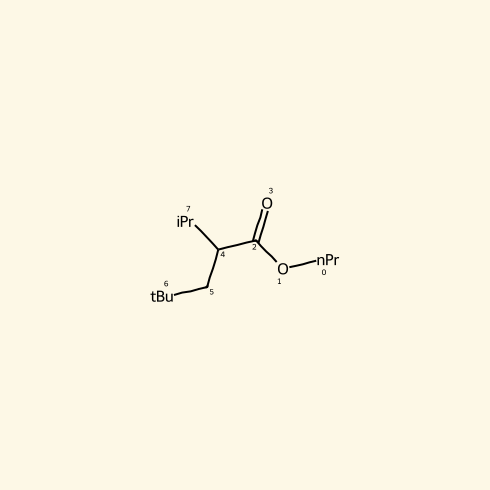 CCCOC(=O)C(CC(C)(C)C)C(C)C